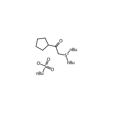 CCCCS(=O)(=O)[O-].CCCC[S+](CCCC)CC(=O)C1CCCC1